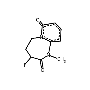 CN1C(=O)C(I)CCn2c1cccc2=O